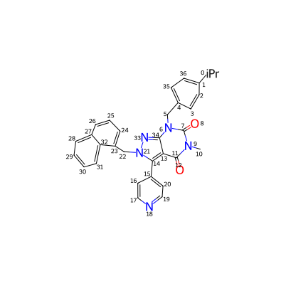 CC(C)c1ccc(Cn2c(=O)n(C)c(=O)c3c(-c4ccncc4)n(Cc4cccc5ccccc45)nc32)cc1